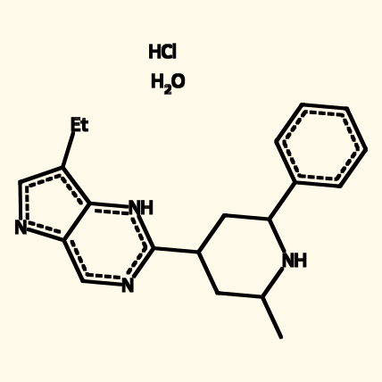 CCc1cnc2cnc(C3CC(C)NC(c4ccccc4)C3)[nH]c1-2.Cl.O